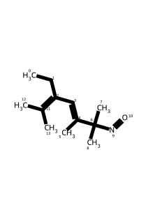 CCC(/C=C(\C)C(C)(C)N=O)=C(C)C